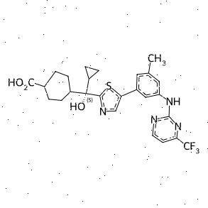 Cc1cc(Nc2nccc(C(F)(F)F)n2)cc(-c2cnc([C@@](O)(C3CCC(C(=O)O)CC3)C3CC3)s2)c1